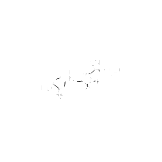 CCOC(=O)C(C#N)=c1sc(=CNc2ccc(O)c([N+](=O)[O-])c2)c(=O)n1CC